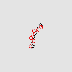 O=C(CC(=O)OCc1ccco1)CC(=O)OCc1ccco1